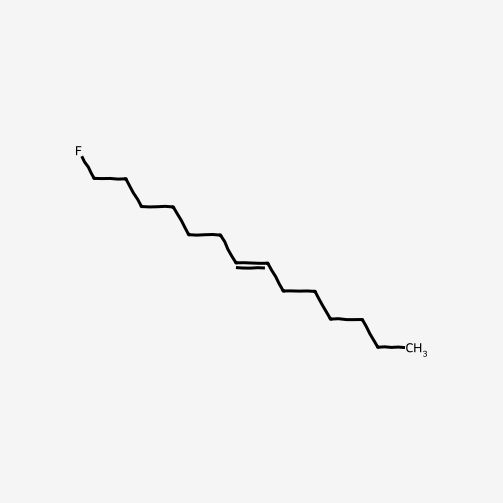 CCCCCCC=CCCCCCCF